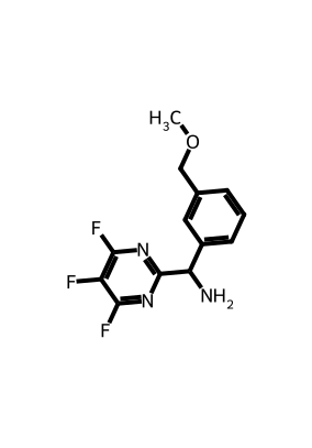 COCc1cccc(C(N)c2nc(F)c(F)c(F)n2)c1